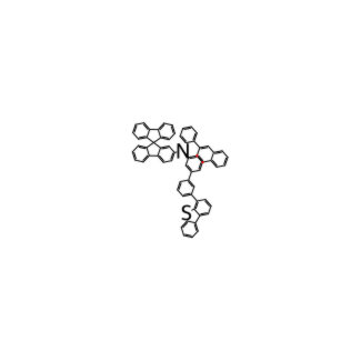 c1cc(-c2cccc(N(c3ccc4c(c3)C3(c5ccccc5-c5ccccc53)c3ccccc3-4)c3ccccc3-c3ccc4ccccc4c3)c2)cc(-c2cccc3c2sc2ccccc23)c1